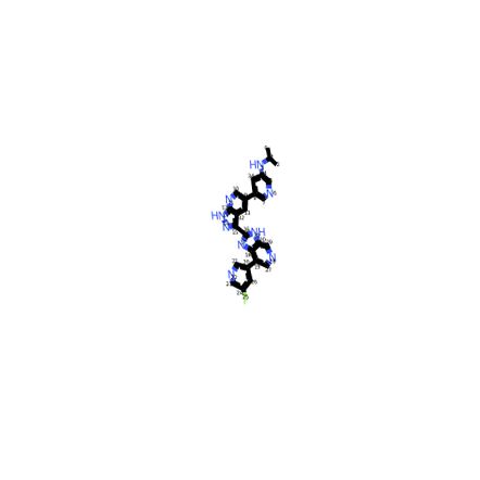 CC(C)Nc1cncc(-c2cnc3[nH]nc(-c4nc5c(-c6cncc(F)c6)cncc5[nH]4)c3c2)c1